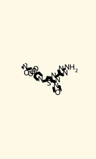 CN(C)C(=O)CS(=O)(=O)C1CCN(Cc2cc3nc(-c4cnc(N)nc4)nc(N4CCOCC4)c3s2)CC1